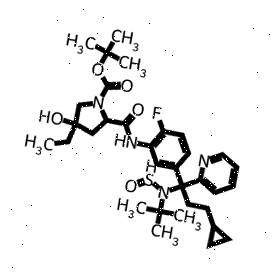 CCC1(O)CC(C(=O)Nc2cc(C(CCC3CC3)(c3ccccn3)N([SH]=O)C(C)(C)C)ccc2F)N(C(=O)OC(C)(C)C)C1